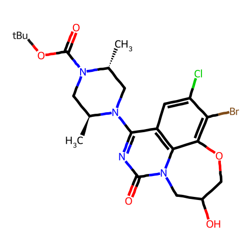 C[C@@H]1CN(c2nc(=O)n3c4c(c(Br)c(Cl)cc24)OCC(O)C3)[C@@H](C)CN1C(=O)OC(C)(C)C